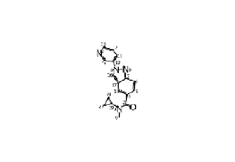 CN(C(=O)c1ccc2nn(-c3cccnc3)cc2c1)C1CC1